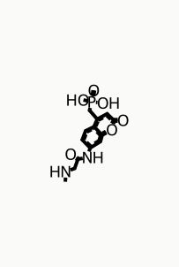 CNCC(=O)Nc1ccc2c(CP(=O)(O)O)cc(=O)oc2c1